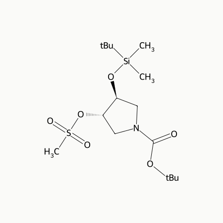 CC(C)(C)OC(=O)N1C[C@H](O[Si](C)(C)C(C)(C)C)[C@@H](OS(C)(=O)=O)C1